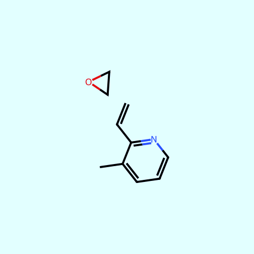 C1CO1.C=Cc1ncccc1C